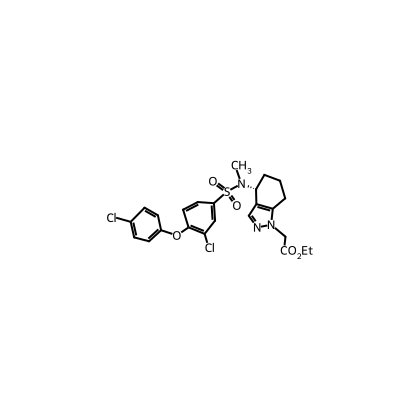 CCOC(=O)Cn1ncc2c1CCC[C@H]2N(C)S(=O)(=O)c1ccc(Oc2ccc(Cl)cc2)c(Cl)c1